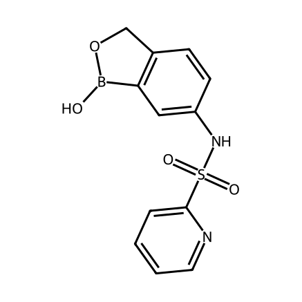 O=S(=O)(Nc1ccc2c(c1)B(O)OC2)c1ccccn1